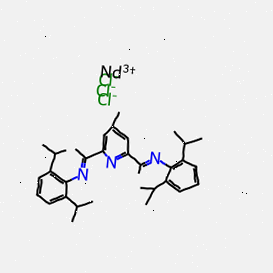 CC(=Nc1c(C(C)C)cccc1C(C)C)c1cc(C)cc(C(C)=Nc2c(C(C)C)cccc2C(C)C)n1.[Cl-].[Cl-].[Cl-].[Nd+3]